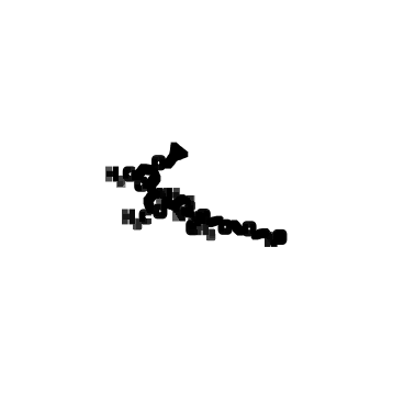 C=C1C=C(OCC2CC2)C=C(C(CCC)NC(=O)C2CSC(N(C)OCCOCCOCCN=O)=N2)O1